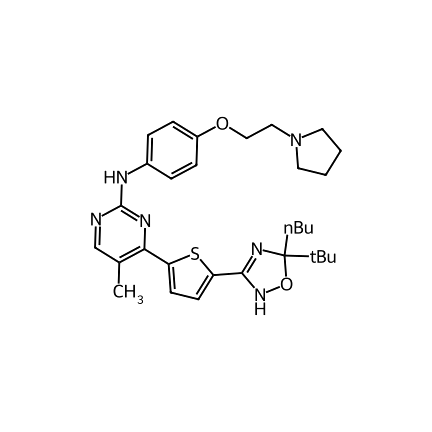 CCCCC1(C(C)(C)C)N=C(c2ccc(-c3nc(Nc4ccc(OCCN5CCCC5)cc4)ncc3C)s2)NO1